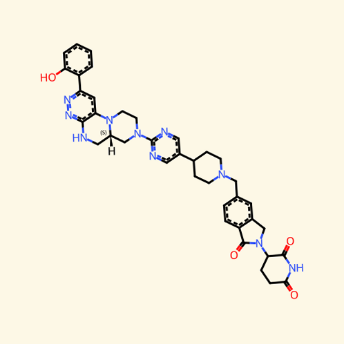 O=C1CCC(N2Cc3cc(CN4CCC(c5cnc(N6CCN7c8cc(-c9ccccc9O)nnc8NC[C@H]7C6)nc5)CC4)ccc3C2=O)C(=O)N1